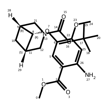 COC(=O)c1cc(O[C@H]2[C@@H]3C[C@H]2CN(C(=O)OC(C)(C)C)C3)c(OC)cc1N